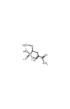 CSC(CC(=O)C(C)=O)P(=O)(O)O